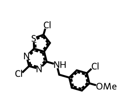 COc1ccc(CNc2nc(Cl)nc3sc(Cl)cc23)cc1Cl